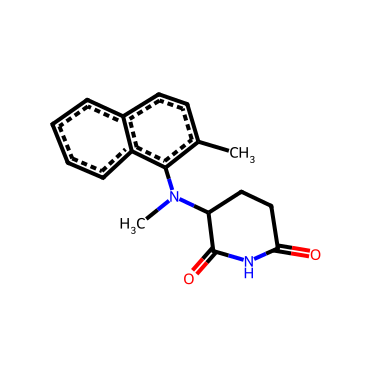 Cc1ccc2ccccc2c1N(C)C1CCC(=O)NC1=O